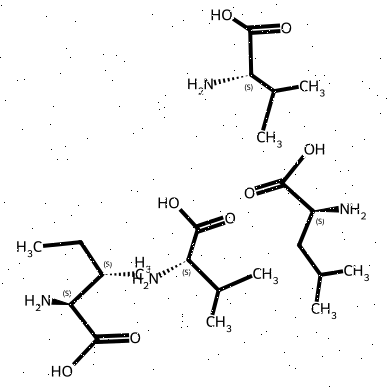 CC(C)C[C@H](N)C(=O)O.CC(C)[C@H](N)C(=O)O.CC(C)[C@H](N)C(=O)O.CC[C@H](C)[C@H](N)C(=O)O